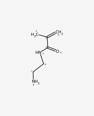 C=C(C)C(=O)NCCN